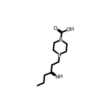 CCCC(=N)CCN1CCN(C(=O)O)CC1